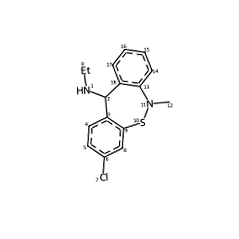 CCNC1c2ccc(Cl)cc2SN(C)c2ccccc21